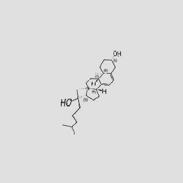 CC(C)CCCC(C)(O)[C@H]1CC[C@H]2C3=CC=C4C[C@@H](O)CC[C@]4(C)[C@H]3CC[C@]12C